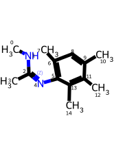 CN/C(C)=N\c1c(C)cc(C)c(C)c1C